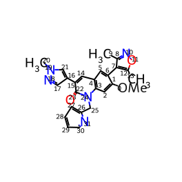 COc1cc2c(cc1-c1c(C)noc1C)cc(-c1cnn(C)c1)c(=O)n2Cc1ccccn1